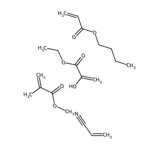 C=C(C)C(=O)OC.C=C(O)C(=O)OCC.C=CC#N.C=CC(=O)OCCCC